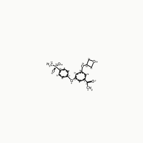 CC(=O)c1cc(Oc2ccc(S(C)(=O)=O)cc2)cc(OC2COC2)c1